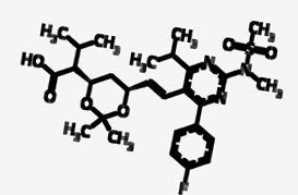 CC(C)c1nc(N(C)S(C)(=O)=O)nc(-c2ccc(F)cc2)c1/C=C/[C@@H]1C[C@H](C(C(=O)O)C(C)C)OC(C)(C)O1